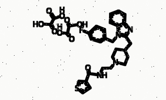 O=C(NCCN1CCC(Cc2nc3ccccc3n2Cc2ccc(F)cc2)CC1)c1ccsc1.O=C(O)C(=O)O.O=C(O)C(=O)O